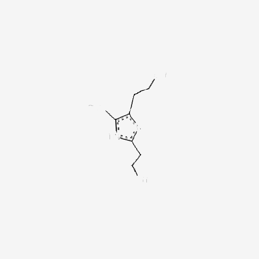 CCCc1nc(CCC)c(C)[nH]1